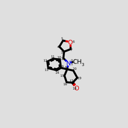 CN(CC1CCOC1)C1(c2ccccc2)CCC(=O)CC1